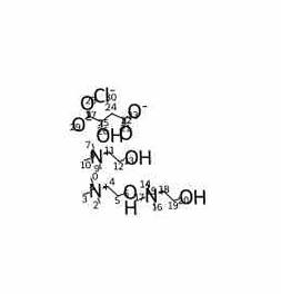 C[N+](C)(C)CCO.C[N+](C)(C)CCO.C[N+](C)(C)CCO.O=C([O-])CC(O)C(=O)[O-].[Cl-]